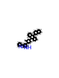 CC1CC(C2=c3ccccc3=C(C3=Cc4ccccc4CC3)C3C=CC=CC23)=CC=C1C1=CC(C2=CC=CCN2)=CNC1